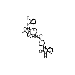 CC(O)c1cnc2n1C[C@H](c1cccc(F)c1F)CC[C@H]2NC(=O)N1CCC(n2c(=O)[nH]c3ncccc32)CC1